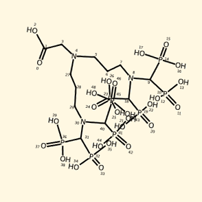 O=C(O)CN(CCCN(C(P(=O)(O)O)P(=O)(O)O)C(P(=O)(O)O)P(=O)(O)O)CCCN(C(P(=O)(O)O)P(=O)(O)O)C(P(=O)(O)O)P(=O)(O)O